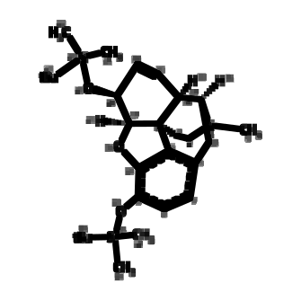 CN1CC[C@]23c4c5ccc(O[Si](C)(C)C(C)(C)C)c4O[C@H]2[C@@H](O[Si](C)(C)C(C)(C)C)C=C[C@H]3[C@H]1C5